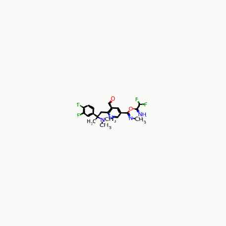 C/N=C(\OC(=N)C(F)F)c1cnc(CC(C)(c2ccc(F)c(F)c2)N(C)C)c(C=O)c1